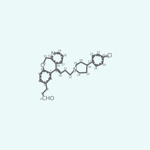 O=CCCc1ccc2c(c1)/C(=C/CCN1CCC(c3ccc(Cl)cc3)CC1)c1cccnc1CO2